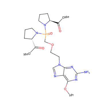 CCCOc1nc(N)nc2c1ncn2CCOCP(=O)(N1CCC[C@H]1C(=O)OC)N1CCC[C@H]1C(=O)OC